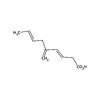 C=C(/C=C/CC(=O)O)C/C=C/C